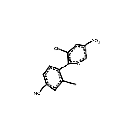 N#Cc1ccc(-c2ncc([N+](=O)[O-])cc2Cl)c(F)c1